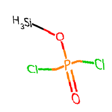 O=P(Cl)(Cl)O[SiH3]